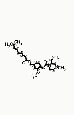 COc1cc(CNC(=O)CCCC/C=C/C(C)C)ccc1OC(=O)N1CCN(C)CC1CN